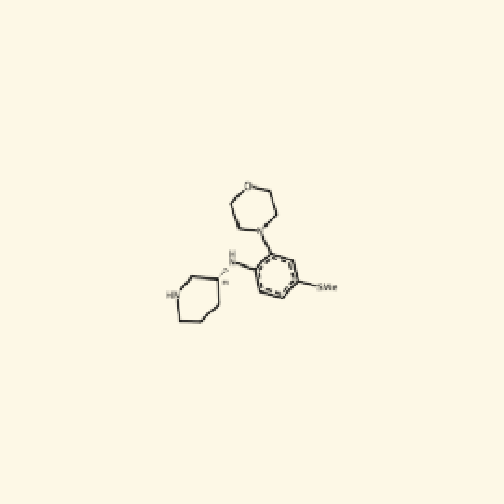 CSc1ccc(N[C@@H]2CCCNC2)c(N2CCOCC2)c1